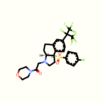 O=C(CN1CC[C@]2(S(=O)(=O)c3ccc(F)cc3)c3ccc(C(F)(C(F)(F)F)C(F)(F)F)cc3CC[C@H]12)N1CCOCC1